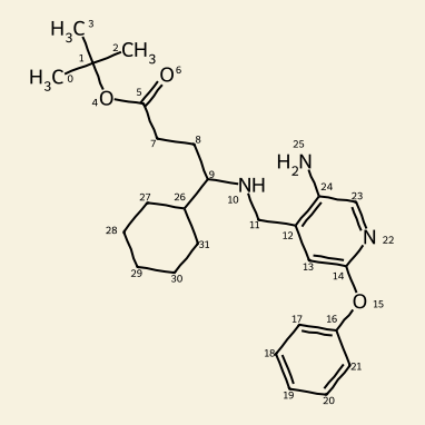 CC(C)(C)OC(=O)CCC(NCc1cc(Oc2ccccc2)ncc1N)C1CCCCC1